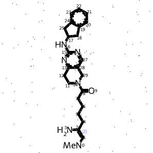 CN/C=C(\N)CCCCC(=O)N1CCc2nc(NC3Cc4ccccc4C3)ncc2C1